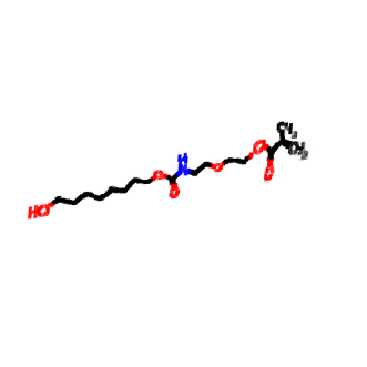 C=C(C)C(=O)OCCOCCNC(=O)OCCCCCCCCO